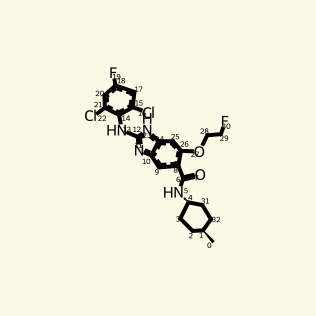 C[C@H]1CC[C@H](NC(=O)c2cc3nc(Nc4c(Cl)cc(F)cc4Cl)[nH]c3cc2OCCF)CC1